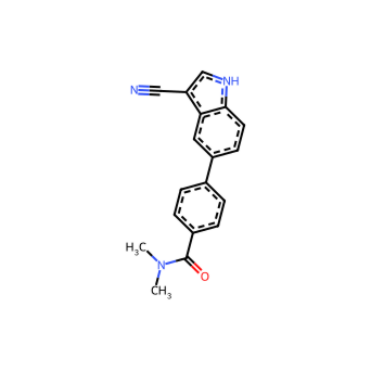 CN(C)C(=O)c1ccc(-c2ccc3[nH]cc(C#N)c3c2)cc1